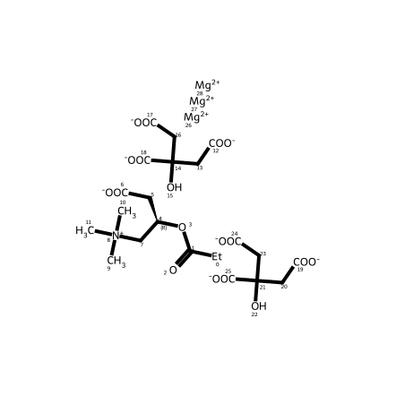 CCC(=O)O[C@H](CC(=O)[O-])C[N+](C)(C)C.O=C([O-])CC(O)(CC(=O)[O-])C(=O)[O-].O=C([O-])CC(O)(CC(=O)[O-])C(=O)[O-].[Mg+2].[Mg+2].[Mg+2]